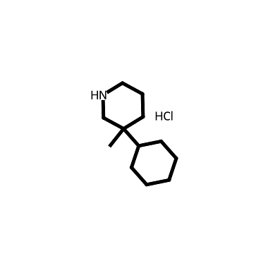 CC1(C2CCCCC2)CCCNC1.Cl